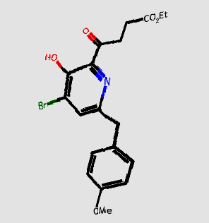 CCOC(=O)CCC(=O)c1nc(Cc2ccc(OC)cc2)cc(Br)c1O